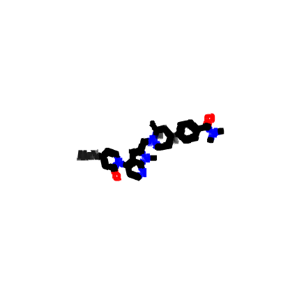 CNc1ccn(-c2ccnc3c2cc(CN2CC[C@@H](c4ccc(C(=O)N(C)C)cc4)C[C@@H]2C)n3C)c(=O)c1